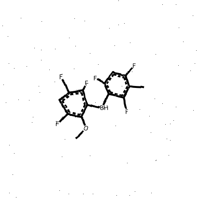 COc1c(F)cc(F)c(F)c1Bc1c(F)cc(F)c(C)c1F